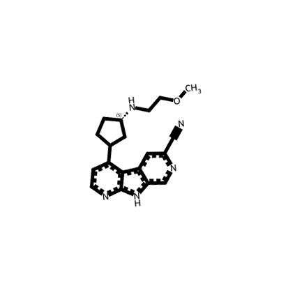 COCCN[C@H]1CCC(c2ccnc3[nH]c4cnc(C#N)cc4c23)C1